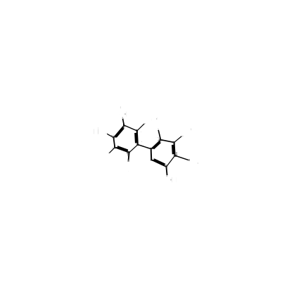 Oc1cc(-c2c(F)c(O)c(O)c(F)c2F)c(O)c(F)c1F